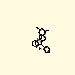 Cc1cc(C)cc(CO[C@@H]2C3CCN(CC3)[C@@H]2C(c2ccccc2)c2ccccc2)c1